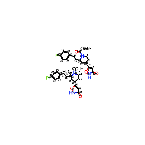 COC(=O)N1CC[C@@H](c2cc(=O)[nH]o2)C[C@H]1CCc1ccc(F)cc1.C[C@@]1(CCc2ccc(F)cc2)C[C@H](c2cc(=O)[nH]o2)CCN1C(=O)O